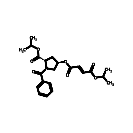 CC(C)OC(=O)/C=C/C(=O)O[C@@H]1C[C@@H](C(=O)OC(C)C)N(C(=O)c2ccccc2)C1